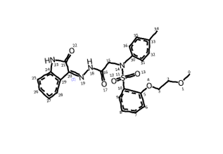 COCCOc1ccccc1S(=O)(=O)N(CC(=O)N/N=C1\C(=O)Nc2ccccc21)c1ccc(C)cc1